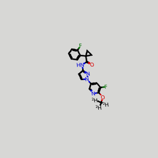 [2H]C([2H])([2H])Oc1ncc(-n2ccc(NC(=O)C3(c4ccccc4F)CC3)n2)cc1F